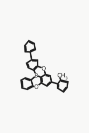 Cc1ccccc1-c1cc2c3c(c1)Oc1cc(-c4ccccc4)ccc1B3c1ccccc1O2